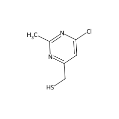 Cc1nc(Cl)cc(CS)n1